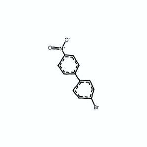 O=[N+]([O-])c1ccc(-c2ccc(Br)cc2)cc1